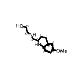 COc1ccc2c(c1)CCC(CNCCO)N2